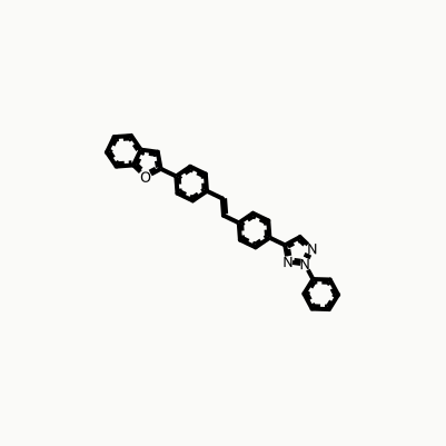 C(=Cc1ccc(-c2cc3ccccc3o2)cc1)c1ccc(-c2cnn(-c3ccccc3)n2)cc1